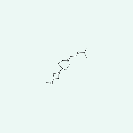 COC1CN(C2CCN(CCOC(C)C)CC2)C1